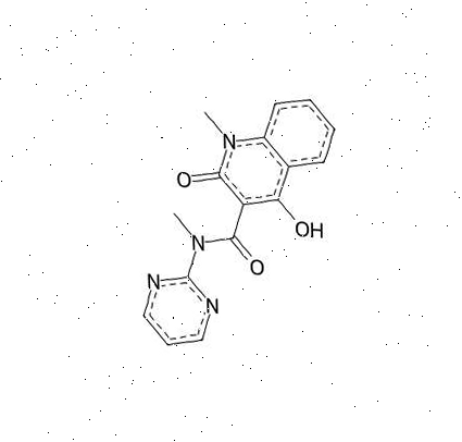 CN(C(=O)c1c(O)c2ccccc2n(C)c1=O)c1ncccn1